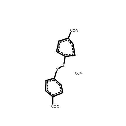 O=C([O-])c1ccc(SSc2ccc(C(=O)[O-])cc2)cc1.[Co+2]